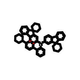 c1ccc(N(c2ccc3c(c2)C2(CCCCC2)c2ccccc2-3)c2ccc3c(c2)C2(CCCCC2)c2ccccc2-3)c(-c2ccc(C3CCCCC3)cc2)c1